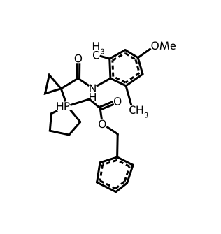 COc1cc(C)c(NC(=O)C2([PH]3(CC(=O)OCc4ccccc4)CCCC3)CC2)c(C)c1